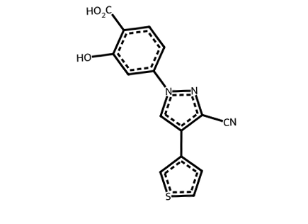 N#Cc1nn(-c2ccc(C(=O)O)c(O)c2)cc1-c1ccsc1